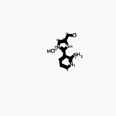 Cl.Nc1ncccc1-c1ncc(CCl)s1